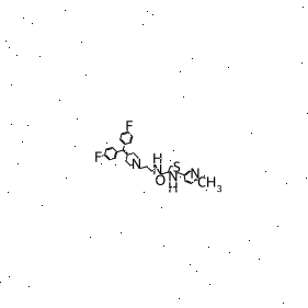 Cc1ccc(C2NC(C(=O)NCCCN3CCC(=C(c4ccc(F)cc4)c4ccc(F)cc4)CC3)CS2)cn1